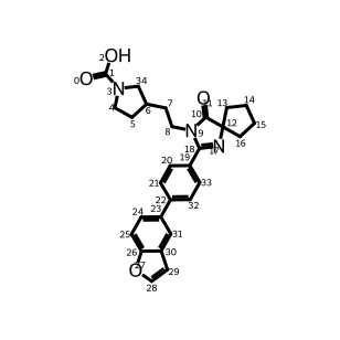 O=C(O)N1CCC(CCN2C(=O)C3(CCCC3)N=C2c2ccc(-c3ccc4occc4c3)cc2)C1